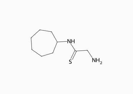 NCC(=S)NC1CCCCCC1